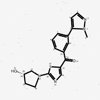 Cn1nccc1-c1cccc(C(=O)c2cnc(N3CC[C@H](O)C3)s2)c1